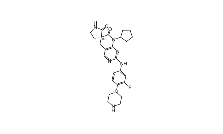 O=C1NCC[C@]12Cc1cnc(Nc3ccc(N4CCNCC4)c(F)c3)nc1N(C1CCCC1)C2=O